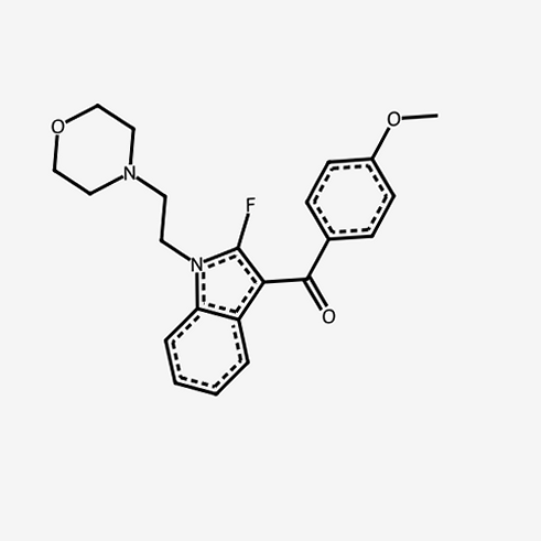 COc1ccc(C(=O)c2c(F)n(CCN3CCOCC3)c3ccccc23)cc1